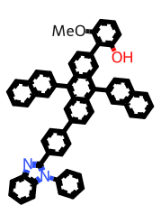 COc1cccc(O)c1-c1ccc2c(-c3ccc4ccccc4c3)c3cc(-c4ccc(-c5nc6ccccc6n5-c5ccccc5)cc4)ccc3c(-c3ccc4ccccc4c3)c2c1